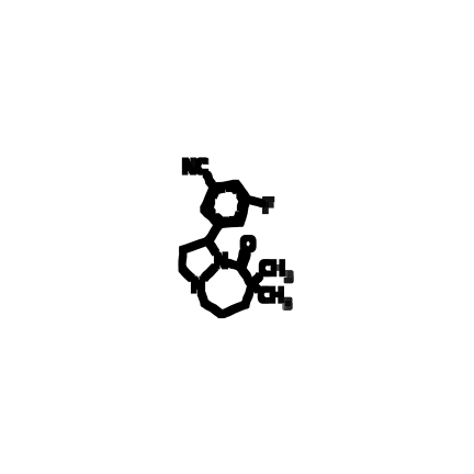 CC1(C)CCCN2CCC(c3cc(F)cc(C#N)c3)N2C1=O